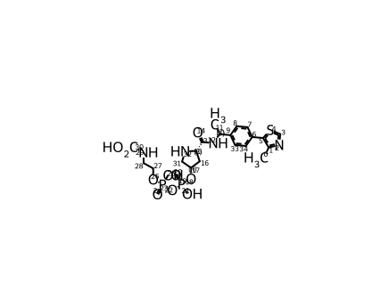 Cc1ncsc1-c1ccc([C@H](C)NC(=O)[C@@H]2C[C@@H](OP(=O)(O)OP(=O)(O)OCCNC(=O)O)CN2)cc1